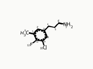 Cc1cc(CCCN)cc(Cl)c1F